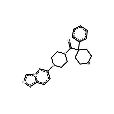 O=C(N1CCN(c2ccc3nncn3n2)CC1)C1(c2ccccc2)CCNCC1